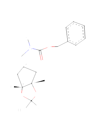 CN(C[C@@H]1C[C@@H]2OC(C)(C)O[C@@H]2C1)C(=O)OCc1ccccc1